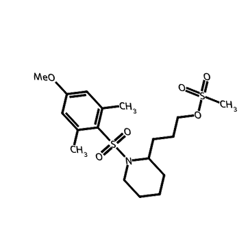 COc1cc(C)c(S(=O)(=O)N2CCCCC2CCCOS(C)(=O)=O)c(C)c1